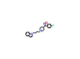 Fc1ccc2c(C3CCN(CCCCn4ccc5ccccc54)CC3)noc2c1